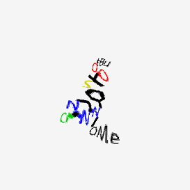 COCCN(Cc1ccc(SC(C)(C)C(=O)OC(C)(C)C)cc1)c1ccnc(Cl)n1